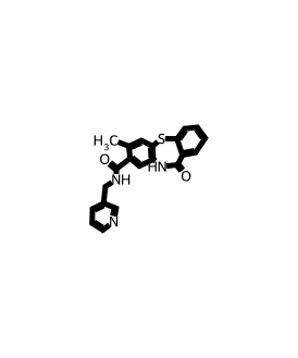 Cc1cc2c(cc1C(=O)NCc1cccnc1)NC(=O)c1ccccc1S2